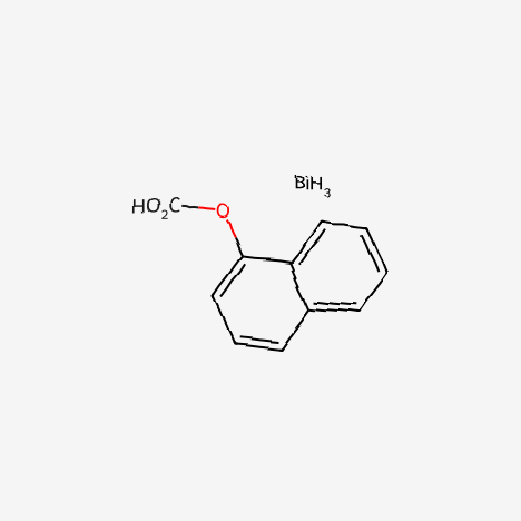 O=C(O)Oc1cccc2ccccc12.[BiH3]